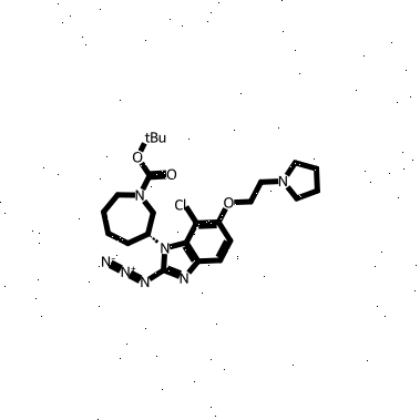 CC(C)(C)OC(=O)N1CCCC[C@@H](n2c(N=[N+]=[N-])nc3ccc(OCCN4CCCC4)c(Cl)c32)C1